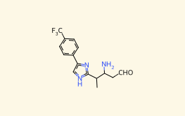 CC(c1nc(-c2ccc(C(F)(F)F)cc2)c[nH]1)C(N)CC=O